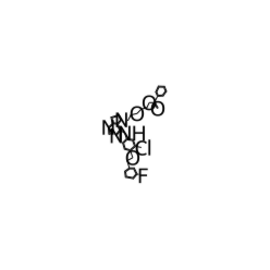 O=C(OCCOCCn1ccc2ncnc(Nc3ccc(OCc4cccc(F)c4)c(Cl)c3)c21)c1ccccc1